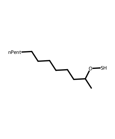 CCCCCCCCCCCC(C)OS